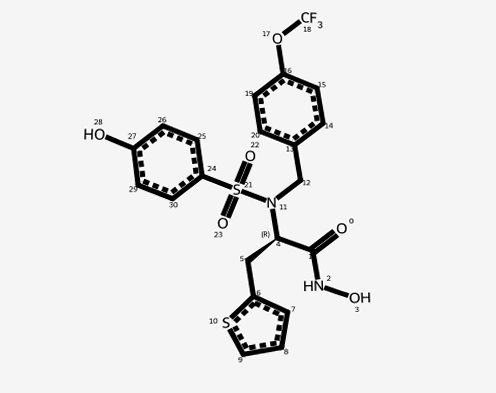 O=C(NO)[C@@H](Cc1cccs1)N(Cc1ccc(OC(F)(F)F)cc1)S(=O)(=O)c1ccc(O)cc1